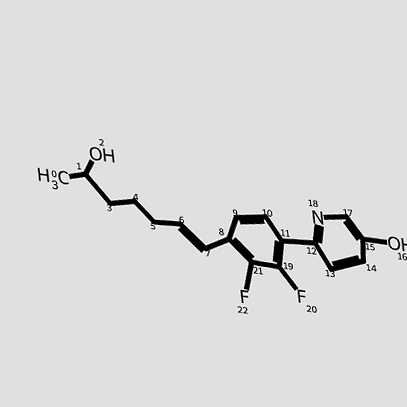 CC(O)CCC/C=C/c1ccc(-c2ccc(O)cn2)c(F)c1F